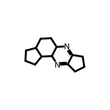 C1CC2=NC3CCC4CCCC4C3N=C2C1